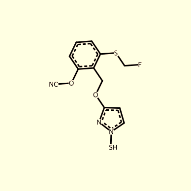 N#COc1cccc(SCF)c1COc1ccn(S)n1